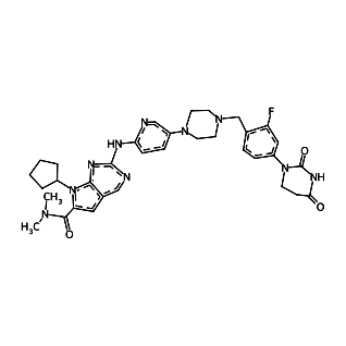 CN(C)C(=O)c1cc2cnc(Nc3ccc(N4CCN(Cc5ccc(N6CCC(=O)NC6=O)cc5F)CC4)cn3)nc2n1C1CCCC1